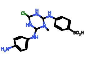 CN1C(Nc2ccc(N)cc2)NC(Cl)NC1Nc1ccc(S(=O)(=O)O)cc1